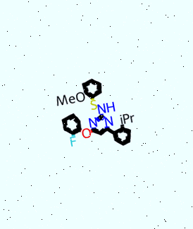 COc1ccccc1SNc1nc(Oc2ccccc2F)cc(-c2ccccc2C(C)C)n1